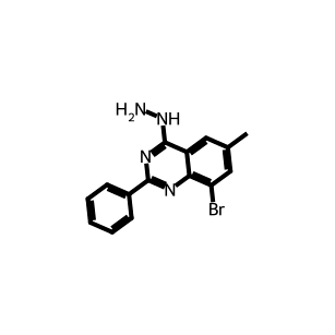 Cc1cc(Br)c2nc(-c3ccccc3)nc(NN)c2c1